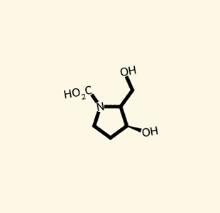 O=C(O)N1CC[C@H](O)C1CO